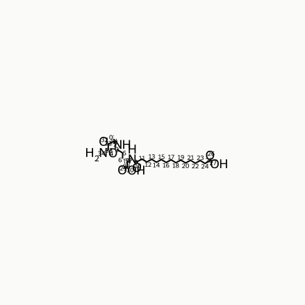 C[C@H](NC(=O)CC[C@H](NC(=O)CCCCCCCCCCCCCCC(=O)O)C(=O)O)C(=O)CN